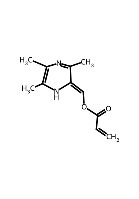 C=CC(=O)OC=C1NC(C)=C(C)N=C1C